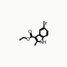 CCOC(=O)c1c(C)[nH]c2ccc(Br)cc12